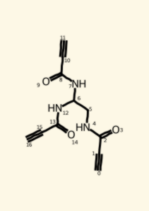 C#CC(=O)NCC(NC(=O)C#C)NC(=O)C#C